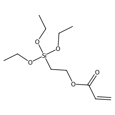 C=CC(=O)OCC[Si](OCC)(OCC)OCC